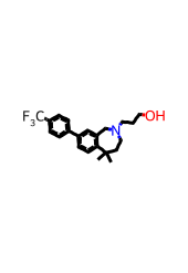 CC1(C)CCN(CCCO)Cc2cc(-c3ccc(C(F)(F)F)cc3)ccc21